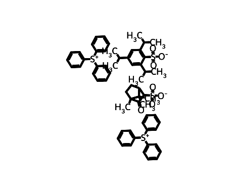 CC(C)c1cc(C(C)C)c(S(=O)(=O)[O-])c(C(C)C)c1.CC12CCC(C(S(=O)(=O)[O-])C1=O)C2(C)C.c1ccc([S+](c2ccccc2)c2ccccc2)cc1.c1ccc([S+](c2ccccc2)c2ccccc2)cc1